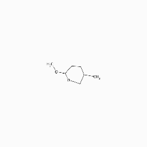 COC1CCC(C)[CH]O1